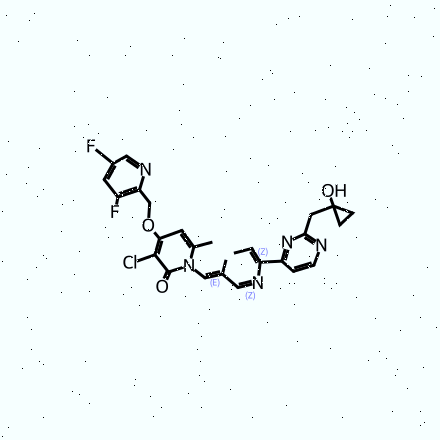 C\C=C(/N=C\C(C)=C\n1c(C)cc(OCc2ncc(F)cc2F)c(Cl)c1=O)c1ccnc(CC2(O)CC2)n1